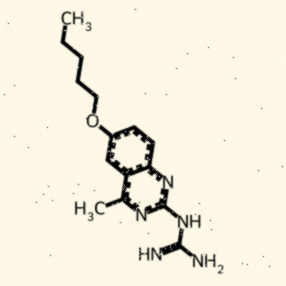 CCCCCOc1ccc2nc(NC(=N)N)nc(C)c2c1